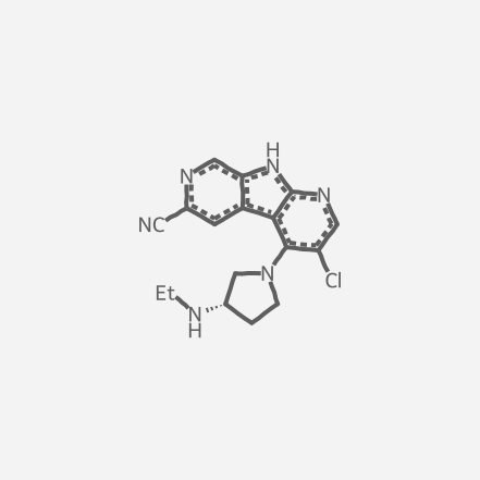 CCN[C@H]1CCN(c2c(Cl)cnc3[nH]c4cnc(C#N)cc4c23)C1